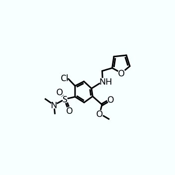 COC(=O)c1cc(S(=O)(=O)N(C)C)c(Cl)cc1NCc1ccco1